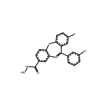 CCCCNC(=O)c1ccc2c(c1)N=C(c1cccc(Cl)c1)c1cc(F)ccc1S2